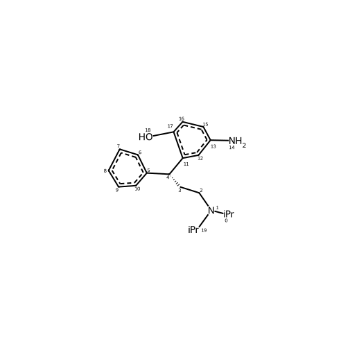 CC(C)N(CC[C@H](c1ccccc1)c1cc(N)ccc1O)C(C)C